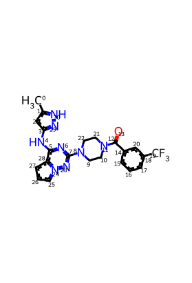 Cc1cc(Nc2nc(N3CCN(C(=O)c4cccc(C(F)(F)F)c4)CC3)nn3cccc23)n[nH]1